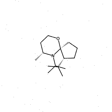 CC(C)[C@H]1CCC[C@]12OCC[C@@H](C)N2C(C)C